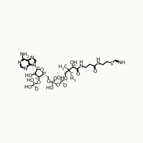 CC(C)(COP(=O)(O)OP(=O)(O)OC[C@H]1O[C@@H](n2cnc3c(N)ncnc32)[C@H](O)[C@@H]1OP(=O)(O)O)[C@@H](O)C(=O)NCCC(=O)NCCSC=N